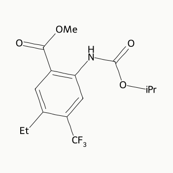 CCc1cc(C(=O)OC)c(NC(=O)OC(C)C)cc1C(F)(F)F